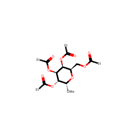 CCC(=O)OC[C@H]1O[C@H](OC)[C@H](OC(=O)CC)[C@@H](OC(=O)CC)[C@H]1OC(=O)CC